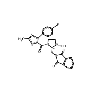 Cc1nc(C(=O)N2CC[C@H](O)[C@H]2CN2C(=O)c3ccccc3C2=O)c(-c2ccc(F)cc2)s1